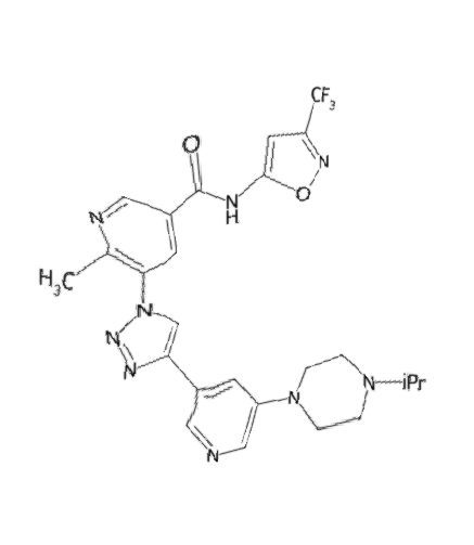 Cc1ncc(C(=O)Nc2cc(C(F)(F)F)no2)cc1-n1cc(-c2cncc(N3CCN(C(C)C)CC3)c2)nn1